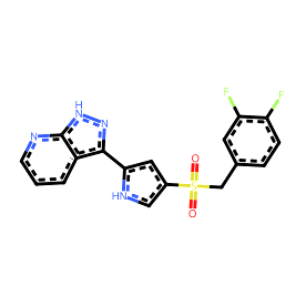 O=S(=O)(Cc1ccc(F)c(F)c1)c1c[nH]c(-c2n[nH]c3ncccc23)c1